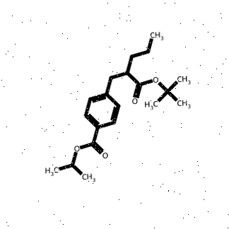 CCCC(Cc1ccc(C(=O)OC(C)C)cc1)C(=O)OC(C)(C)C